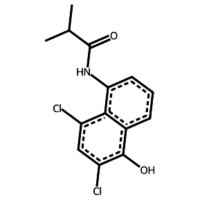 CC(C)C(=O)Nc1cccc2c(O)c(Cl)cc(Cl)c12